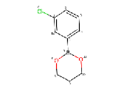 Clc1cccc(B2OCCCO2)c1